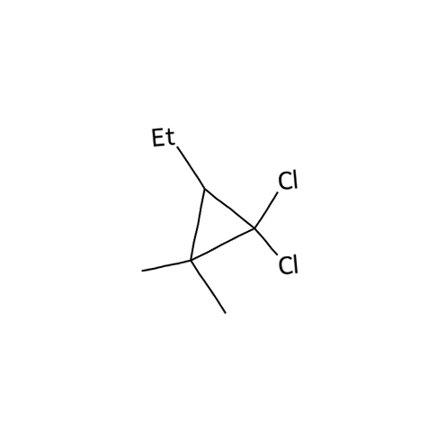 CCC1C(C)(C)C1(Cl)Cl